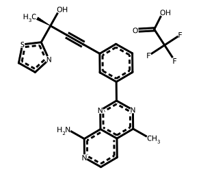 Cc1nc(-c2cccc(C#C[C@@](C)(O)c3nccs3)c2)nc2c(N)nccc12.O=C(O)C(F)(F)F